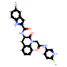 O=C(CN1C(=O)C(NC(=O)c2cc3cc(Cl)ccc3[nH]2)Cc2ccccc21)Nc1ccc(F)nc1